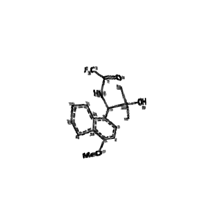 COc1ccc(C(NC(=O)C(F)(F)F)C(C)(C)O)c2ccccc12